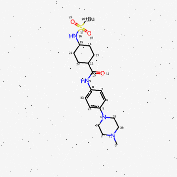 CN1CCN(c2ccc(NC(=O)C3CCC(NS(=O)(=O)C(C)(C)C)CC3)cc2)CC1